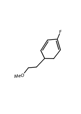 COCCC1C=CC(F)=CC1